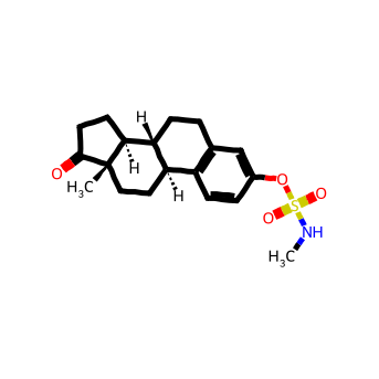 CNS(=O)(=O)Oc1ccc2c(c1)CC[C@@H]1[C@@H]2CC[C@]2(C)C(=O)CC[C@@H]12